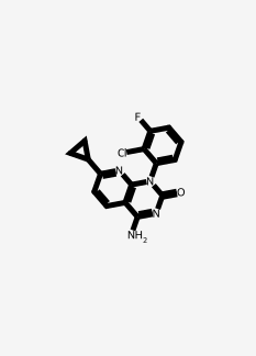 Nc1nc(=O)n(-c2cccc(F)c2Cl)c2nc(C3CC3)ccc12